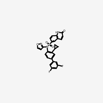 O=c1ccc2cc(S(=O)(=O)N(c3ccon3)c3ccc(-c4cc(F)cc(F)c4)cc3C3CC3)ccc2[nH]1